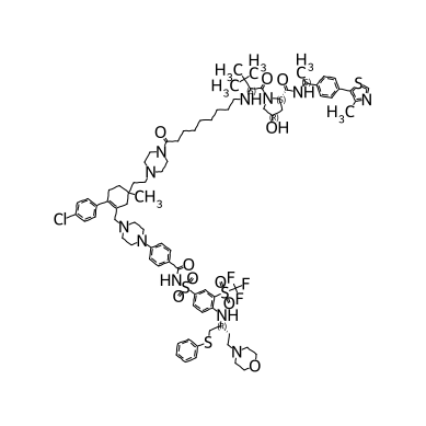 Cc1ncsc1-c1ccc([C@H](C)NC(=O)[C@@H]2C[C@@H](O)CN2C(=O)[C@@H](NCCCCCCCCC(=O)N2CCN(CCC3(C)CCC(c4ccc(Cl)cc4)=C(CN4CCN(c5ccc(C(=O)NS(=O)(=O)c6ccc(N[C@H](CCN7CCOCC7)CSc7ccccc7)c(S(=O)(=O)C(F)(F)F)c6)cc5)CC4)C3)CC2)C(C)(C)C)cc1